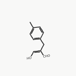 Cc1ccc(CC(C=O)=CO)cc1